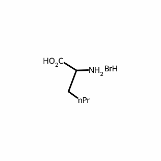 Br.CCCCC(N)C(=O)O